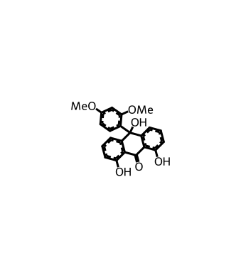 COc1ccc(C2(O)c3cccc(O)c3C(=O)c3c(O)cccc32)c(OC)c1